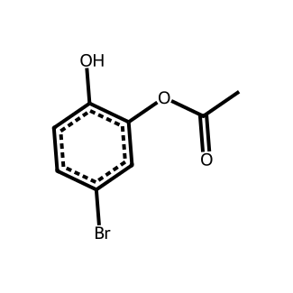 CC(=O)Oc1cc(Br)ccc1O